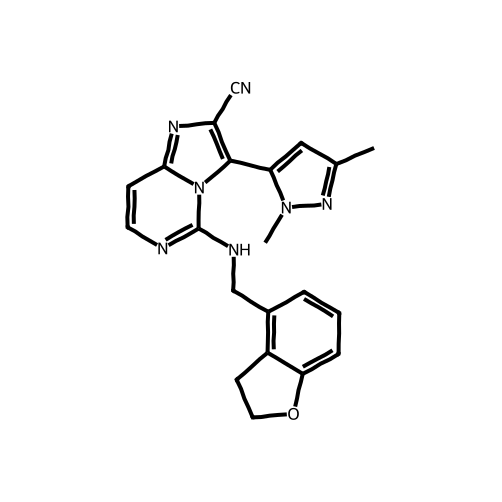 Cc1cc(-c2c(C#N)nc3ccnc(NCc4cccc5c4CCO5)n23)n(C)n1